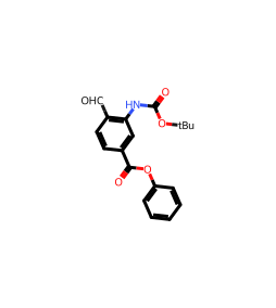 CC(C)(C)OC(=O)Nc1cc(C(=O)Oc2ccccc2)ccc1C=O